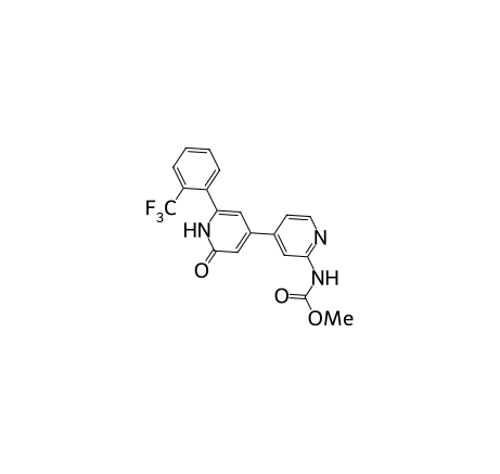 COC(=O)Nc1cc(-c2cc(-c3ccccc3C(F)(F)F)[nH]c(=O)c2)ccn1